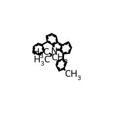 Cc1cccc(-c2cccc3c4cccc(-c5ccccc5)c4n(C(C)(C)C)c23)c1